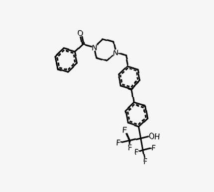 O=C(c1ccccc1)N1CCN(Cc2ccc(-c3ccc(C(O)(C(F)(F)F)C(F)(F)F)cc3)cc2)CC1